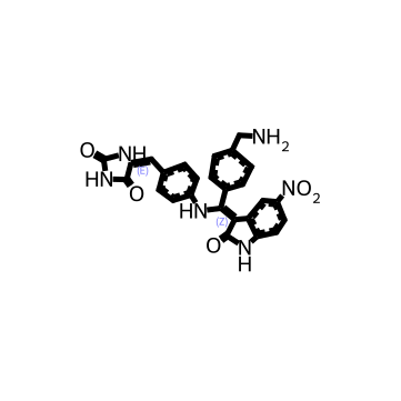 NCc1ccc(/C(Nc2ccc(/C=C3/NC(=O)NC3=O)cc2)=C2/C(=O)Nc3ccc([N+](=O)[O-])cc32)cc1